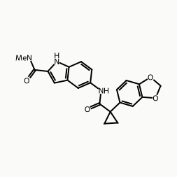 CNC(=O)c1cc2cc(NC(=O)C3(c4ccc5c(c4)OCO5)CC3)ccc2[nH]1